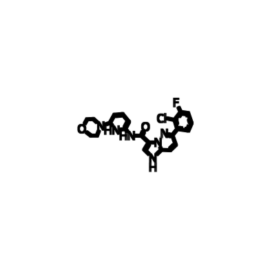 O=C(NC1=CC=CC(N2CCOCC2)N1)C1=CNC2C=CC(c3cccc(F)c3Cl)=NN12